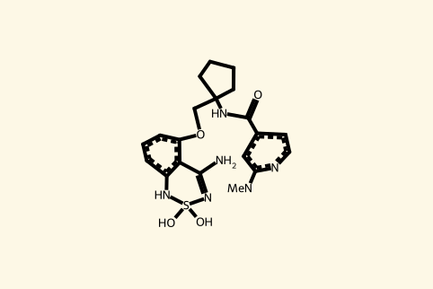 CNc1cc(C(=O)NC2(COc3cccc4c3C(N)=NS(O)(O)N4)CCCC2)ccn1